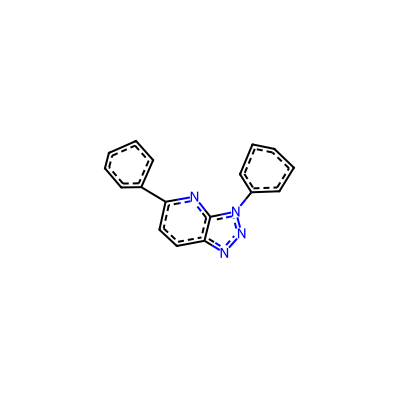 c1ccc(-c2ccc3nnn(-c4ccccc4)c3n2)cc1